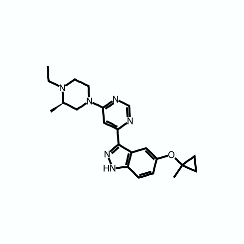 CCN1CCN(c2cc(-c3n[nH]c4ccc(OC5(C)CC5)cc34)ncn2)C[C@H]1C